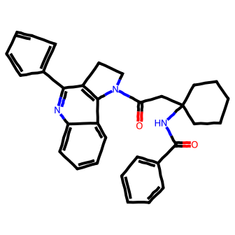 O=C(NC1(CC(=O)N2CCc3c(-c4ccccc4)nc4ccccc4c32)CCCCC1)c1ccccc1